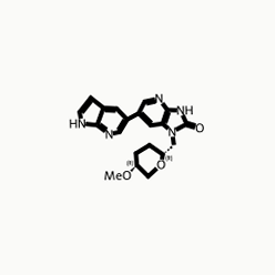 CO[C@@H]1CC[C@H](Cn2c(=O)[nH]c3ncc(-c4cnc5[nH]ccc5c4)cc32)OC1